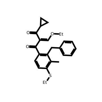 CCOC=C(C(=O)c1ccc(SCC)c(C)c1Cc1ccccc1)C(=O)C1CC1